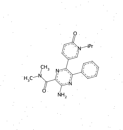 CC(C)n1cc(-c2nc(C(=O)N(C)C)c(N)nc2-c2ccccc2)ccc1=O